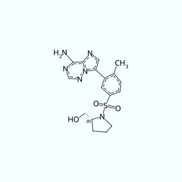 Cc1ccc(S(=O)(=O)N2CCC[C@@H]2CO)cc1-c1cnc2c(N)ncnn12